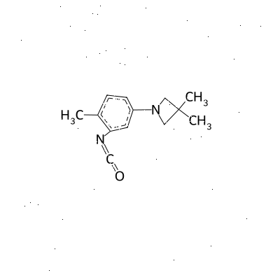 Cc1ccc(N2CC(C)(C)C2)cc1N=C=O